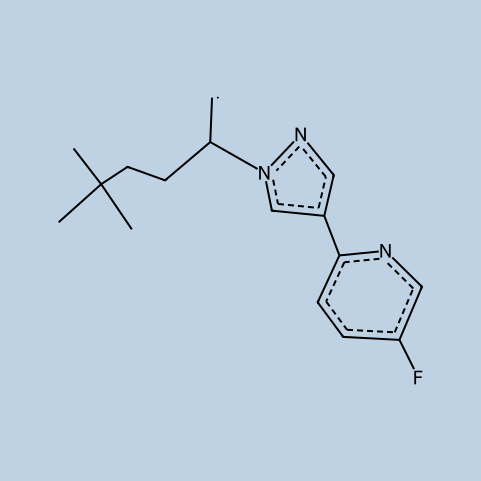 [CH2]C(CCC(C)(C)C)n1cc(-c2ccc(F)cn2)cn1